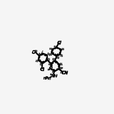 CCCNc1nc(-c2ccc(Cl)cc2Cl)c(-c2ccc(Cl)cc2)cc1C#N